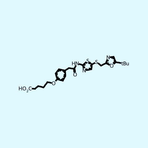 CC(C)(C)c1cnc(CSc2cnc(NC(=O)Cc3ccc(OCCCCC(=O)O)cc3)s2)o1